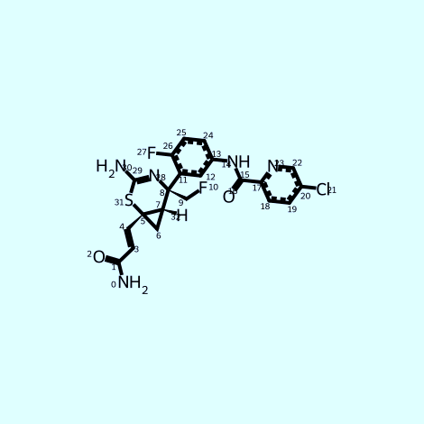 NC(=O)/C=C/[C@]12C[C@H]1[C@@](CF)(c1cc(NC(=O)c3ccc(Cl)cn3)ccc1F)N=C(N)S2